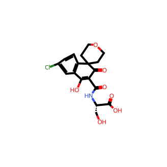 O=C(N[C@@H](CO)C(=O)O)C1=C(O)c2cc(Cl)ccc2C2(CCOCC2)C1=O